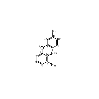 Fc1cccc(Oc2cc[c]c(I)c2)c1F